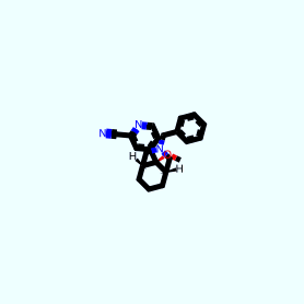 CO[C@]1(c2ccnc(C#N)c2)[C@@H]2CCC[C@H]1CN(Cc1ccccc1)C2